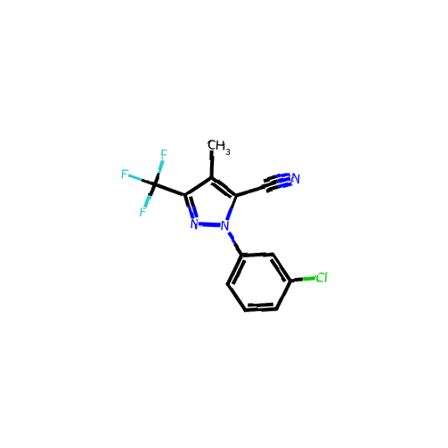 Cc1c(C(F)(F)F)nn(-c2cccc(Cl)c2)c1C#N